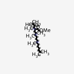 COC(C)C(=O)/C(C/C=C(\C)CC/C=C(\C)CCCC=C(C)C)=C(/C)C(=O)C(C)O